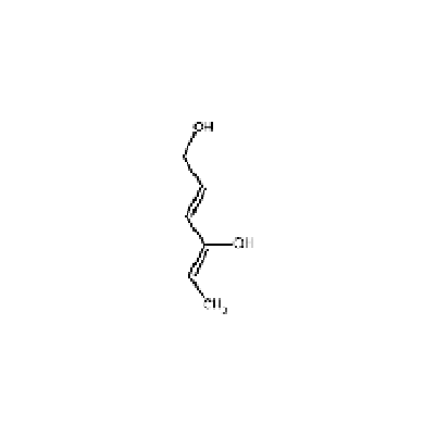 CC=C(O)C=CCO